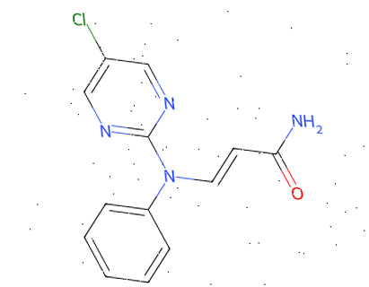 NC(=O)C=CN(c1ccccc1)c1ncc(Cl)cn1